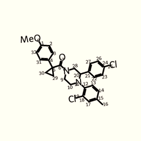 COc1ccc(C2(C(=O)N3CCN(c4ccc(C)cc4Cl)C(c4ccc(Cl)cc4)C3)CC2)cc1